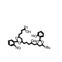 CCCCC1CC(CC(O)CCCC2CC(CCCC(O)CC)OC(c3ccccc3N=O)O2)OC(c2ccccc2O)O1